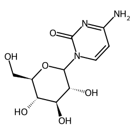 Nc1ccn(C2O[C@H](CO)[C@@H](O)[C@H](O)[C@H]2O)c(=O)n1